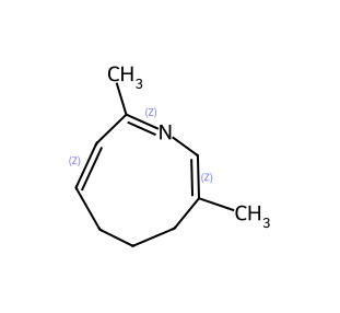 C/C1=C/N=C(C)\C=C/CCC1